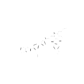 CCCCCC(C(=O)NCNC(=O)c1ccc(-c2ccc(C(=O)NC(CC(=O)O)C(=O)O)c(OCC)c2)o1)[C@@H](CC)N(C=O)OC(=O)c1ccc(CN)cc1